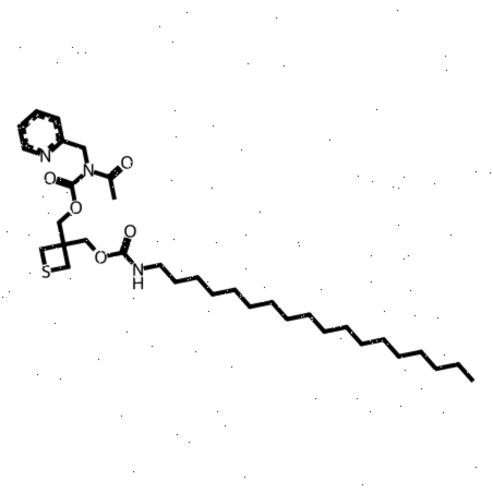 CCCCCCCCCCCCCCCCCCNC(=O)OCC1(COC(=O)N(Cc2ccccn2)C(C)=O)CSC1